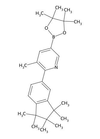 Cc1cc(B2OC(C)(C)C(C)(C)O2)cnc1-c1ccc2c(c1)C(C)(C)C(C)(C)C2(C)C